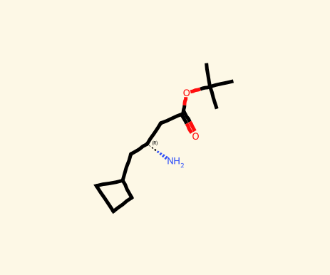 CC(C)(C)OC(=O)C[C@H](N)CC1CCC1